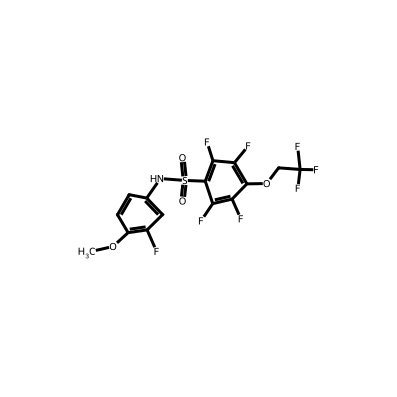 COc1ccc(NS(=O)(=O)c2c(F)c(F)c(OCC(F)(F)F)c(F)c2F)cc1F